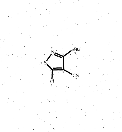 CCCCc1nsc(Cl)c1C#N